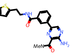 CNC(=O)c1nc(-c2cccc(C(=O)NCCc3cccs3)c2)cnc1N